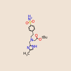 Cc1c[nH]c(CN(CCc2ccc(S(N)(=O)=O)cc2)CC(=O)OC(C)(C)C)n1